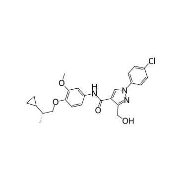 COc1cc(NC(=O)c2cn(-c3ccc(Cl)cc3)nc2CO)ccc1OC[C@H](C)C1CC1